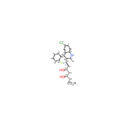 Cc1nc2ccc(Cl)cc2c(-c2ccccc2F)c1/C=C/C(O)CC(O)CC(=O)O